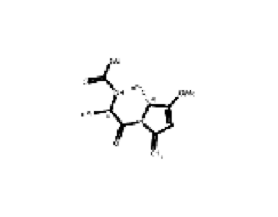 C=C1C=C(OC)[C@@H](CCC)N1C(=O)[C@@H](CCC)NC(=O)C(C)(C)C